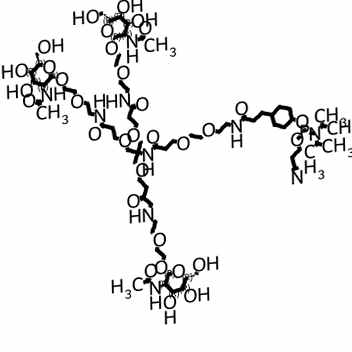 CC(=O)N[C@H]1[C@H](OCCOCCNCC(=O)CCOCC(COCCC(=O)NCCOCCO[C@@H]2O[C@H](CO)[C@H](O)[C@H](O)[C@H]2NC(C)=O)(COCCC(=O)NCCOCCO[C@@H]2O[C@H](CO)[C@H](O)[C@H](O)[C@H]2NC(C)=O)NC(=O)CCOCCOCCNC(=O)CCC2CCC(OP(OCCC#N)N(C(C)C)C(C)C)CC2)O[C@H](CO)[C@H](O)[C@@H]1O